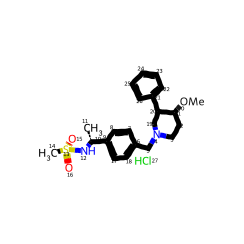 COC1CCN(Cc2ccc([C@@H](C)NS(C)(=O)=O)cc2)CC1c1ccccc1.Cl